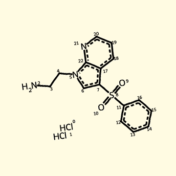 Cl.Cl.NCCn1cc(S(=O)(=O)c2ccccc2)c2cccnc21